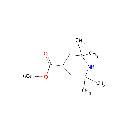 CCCCCCCCOC(=O)C1CC(C)(C)NC(C)(C)C1